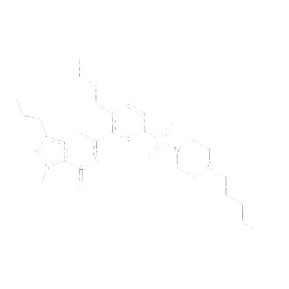 CCCOc1ccc(S(=O)(=O)N2CCN(CCCCO)CC2)cc1-c1nc2c(CCC)cn(C)c2c(=O)[nH]1